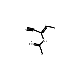 C#C/C(=C/C)SC(C)=N